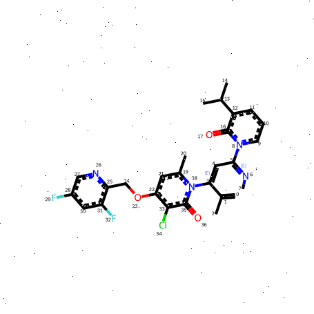 C=C(C)/C(=C\C(=N/C)n1cccc(C(C)C)c1=O)n1c(C)cc(OCc2ncc(F)cc2F)c(Cl)c1=O